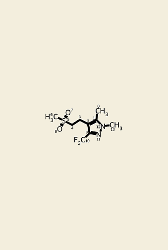 Cc1c(CCS(C)(=O)=O)c(C(F)(F)F)nn1C